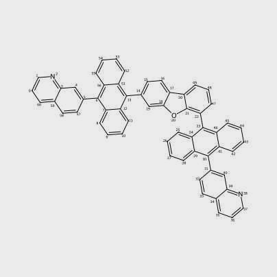 c1cnc2cc(-c3c4ccccc4c(-c4ccc5c(c4)oc4c(-c6c7ccccc7c(-c7ccc8cccnc8c7)c7ccccc67)cccc45)c4ccccc34)ccc2c1